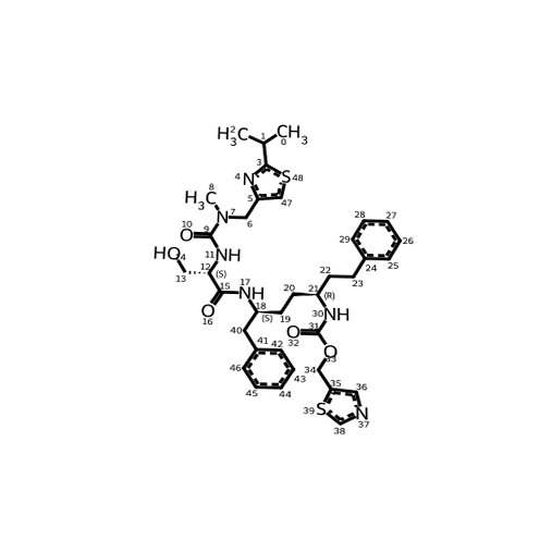 CC(C)c1nc(CN(C)C(=O)N[C@@H](CO)C(=O)N[C@@H](CC[C@@H](CCc2ccccc2)NC(=O)OCc2cncs2)Cc2ccccc2)cs1